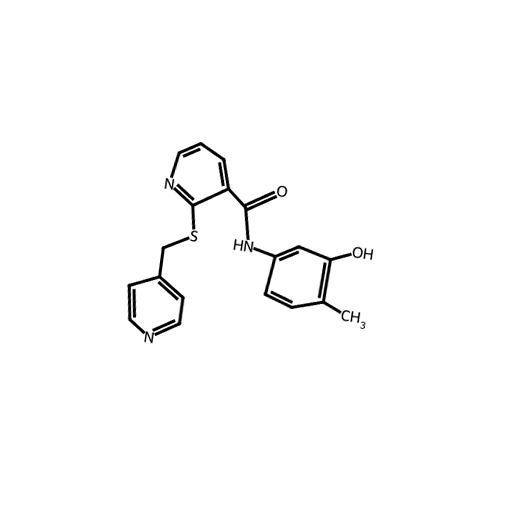 Cc1ccc(NC(=O)c2cccnc2SCc2ccncc2)cc1O